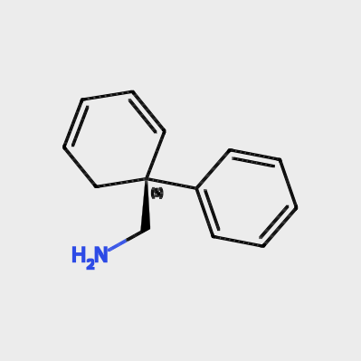 NC[C@]1(c2ccccc2)C=CC=CC1